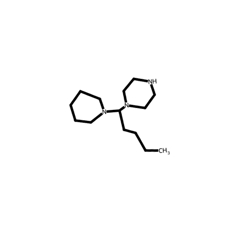 CCCCC(N1CCCCC1)N1CCNCC1